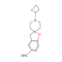 O=Cc1ccc2c(c1)CC1(CCN(C3CCC3)CC1)O2